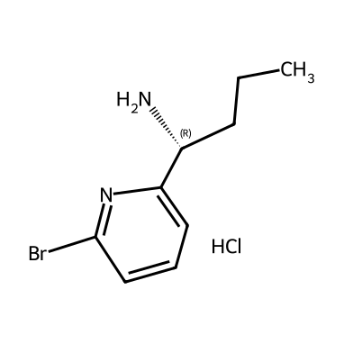 CCC[C@@H](N)c1cccc(Br)n1.Cl